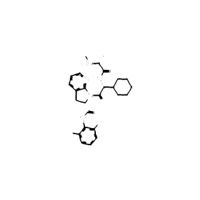 CN[C@@H](C)C(=O)N[C@H](C(=O)N1c2ncccc2C[C@H]1C(=O)Nc1c(F)cccc1F)C1CCCCC1